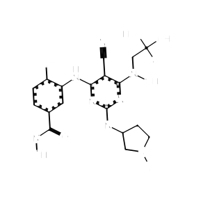 CNC(=O)c1ccc(C)c(Nc2nc(NC3CC[S+]([O-])C3)nc(N(C)CC(C)(C)C)c2C#N)c1